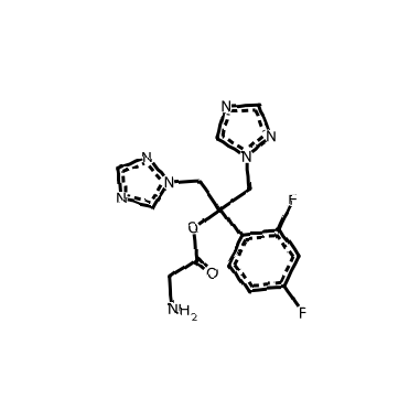 NCC(=O)OC(Cn1cncn1)(Cn1cncn1)c1ccc(F)cc1F